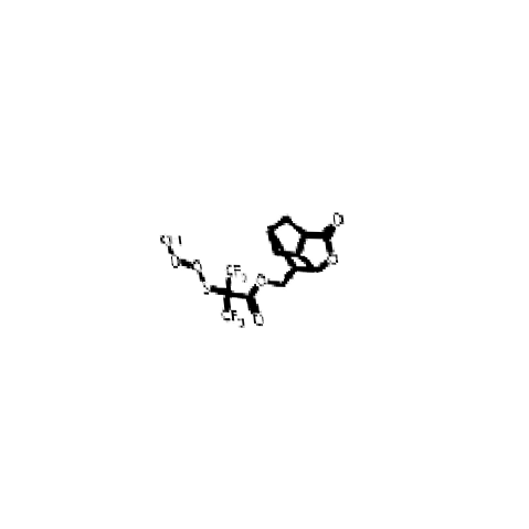 O=C1OC2C(COC(=O)C(SOOO)(C(F)(F)F)C(F)(F)F)C3CC1C2C3